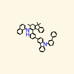 CC1CC2=C(C(c3cccc(-c4ccc5c(c4)c4ccccc4n5-c4cccc(-c5ccccc5)c4)c3)=C1Nc1cccc3ccccc13)c1ccccc1C2(C)C